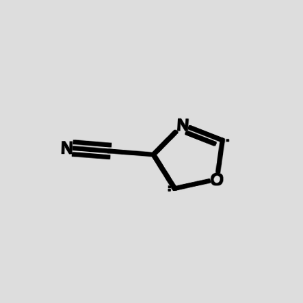 N#CC1[C]O[C]=N1